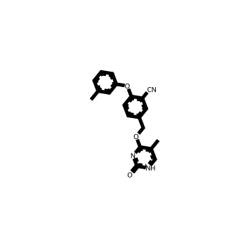 Cc1cccc(Oc2ccc(COc3nc(=O)[nH]cc3C)cc2C#N)c1